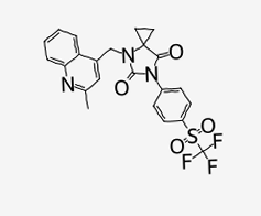 Cc1cc(CN2C(=O)N(c3ccc(S(=O)(=O)C(F)(F)F)cc3)C(=O)C23CC3)c2ccccc2n1